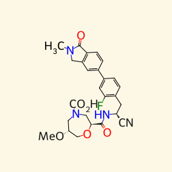 CO[C@H]1CO[C@H](C(=O)N[C@H](C#N)Cc2ccc(-c3ccc4c(c3)CN(C)C4=O)cc2F)CN(C(=O)O)C1